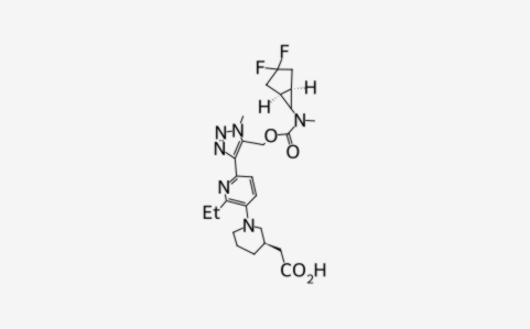 CCc1nc(-c2nnn(C)c2COC(=O)N(C)C2[C@H]3CC(F)(F)C[C@@H]23)ccc1N1CCC[C@H](CC(=O)O)C1